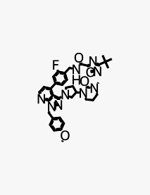 COc1ccc(Cn2nc(N3CCC(N4CCCN(C)C4=O)C3)c3c(-c4ccc(CNC(=O)c5nc(C(C)(C)C)no5)c(F)c4)ccnc32)cc1